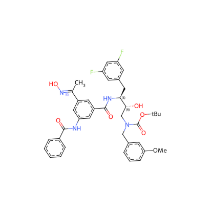 COc1cccc(CN(C[C@@H](O)[C@H](Cc2cc(F)cc(F)c2)NC(=O)c2cc(NC(=O)c3ccccc3)cc(/C(C)=N/O)c2)C(=O)OC(C)(C)C)c1